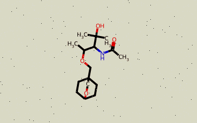 CC(=O)NC(C(C)OCC12CCC(CC1)OC2)C(C)(C)O